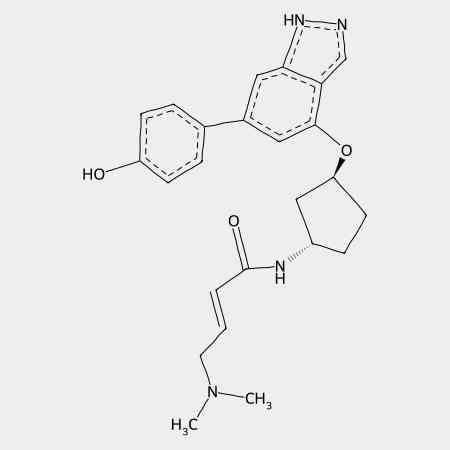 CN(C)C/C=C/C(=O)N[C@H]1CC[C@H](Oc2cc(-c3ccc(O)cc3)cc3[nH]ncc23)C1